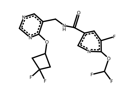 O=C(NCc1cncnc1OC1CC(F)(F)C1)c1cnc(OC(F)F)c(F)c1